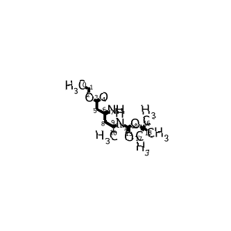 CCOC(=O)CC(=N)C[C@@H](C)NC(=O)OC(C)(C)C